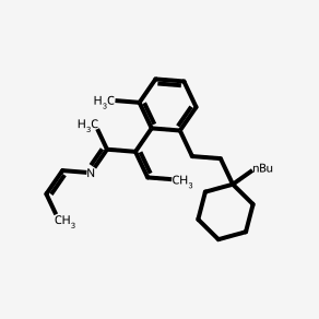 C\C=C/N=C(C)/C(=C/C)c1c(C)cccc1CCC1(CCCC)CCCCC1